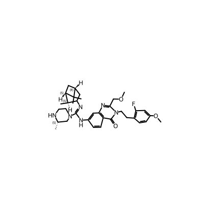 COCc1nc2cc(NC(=NC3C[C@H]4C[C@@H]([C@@H]3C)C4(C)C)N3CCN[C@@H](C)C3)ccc2c(=O)n1CCc1ccc(OC)cc1F